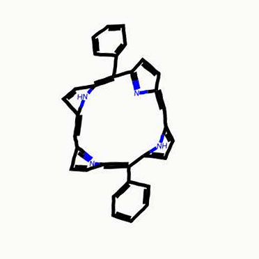 C1=Cc2nc1cc1ccc([nH]1)c(-c1ccccc1)c1nc(cc3ccc([nH]3)c2-c2ccccc2)C=C1